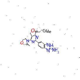 COCC[C@]1(C)OCc2c(N3CCOC[C@@H]3C)nc(-c3ccc4nc(N)[nH]c4c3)nc21